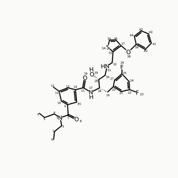 CCCN(CCC)C(=O)c1cc(C)cc(C(=O)N[C@@H](Cc2cc(F)cc(F)c2)[C@H](O)CNCc2sccc2Oc2ccccc2)c1